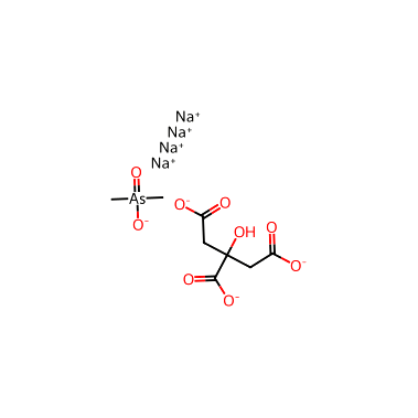 C[As](C)(=O)[O-].O=C([O-])CC(O)(CC(=O)[O-])C(=O)[O-].[Na+].[Na+].[Na+].[Na+]